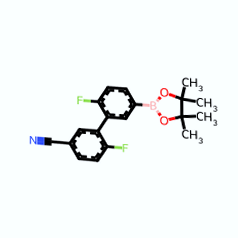 CC1(C)OB(c2ccc(F)c(-c3cc(C#N)ccc3F)c2)OC1(C)C